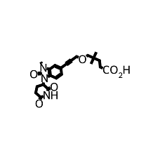 Cn1c(=O)n(C2CCC(=O)NC2=O)c2ccc(C#CCOCC(C)(C)CCC(=O)O)cc21